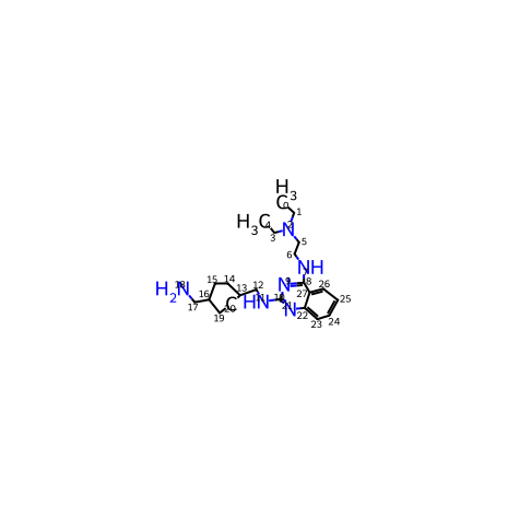 CCN(CC)CCNc1nc(NCC2CCC(CN)CC2)nc2ccccc12